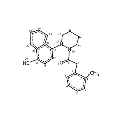 Cc1ccccc1CC(=O)N1CCCCN1c1ccc(C#N)c2ccccc12